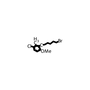 COc1ccc(Cl)c(C)c1CCCCCCBr